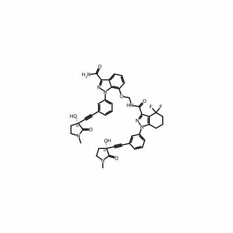 CN1CC[C@@](O)(C#Cc2cccc(-n3nc(C(=O)NCOc4cccc5c(C(N)=O)nn(-c6cccc(C#C[C@]7(O)CCN(C)C7=O)c6)c45)c4c3CCCC4(F)F)c2)C1=O